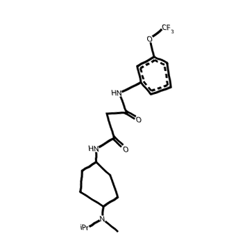 CC(C)N(C)C1CCC(NC(=O)CC(=O)Nc2cccc(OC(F)(F)F)c2)CC1